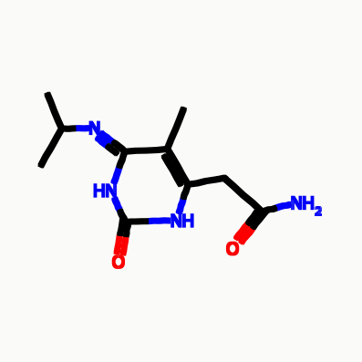 Cc1c(CC(N)=O)[nH]c(=O)[nH]/c1=N\C(C)C